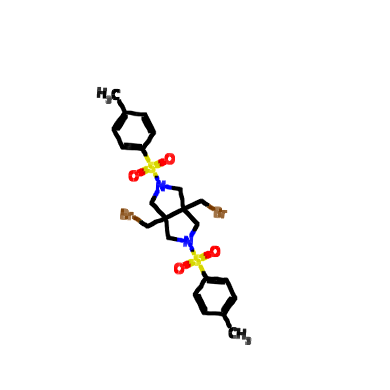 Cc1ccc(S(=O)(=O)N2CC3(CBr)CN(S(=O)(=O)c4ccc(C)cc4)CC3(CBr)C2)cc1